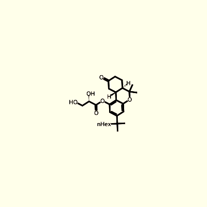 CCCCCCC(C)(C)c1cc(OC(=O)[C@@H](O)CO)c2c(c1)OC(C)(C)[C@@H]1CCC(=O)C[C@@H]21